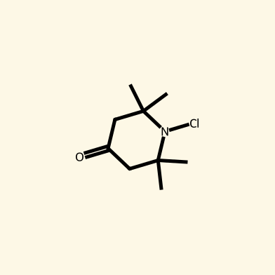 CC1(C)CC(=O)CC(C)(C)N1Cl